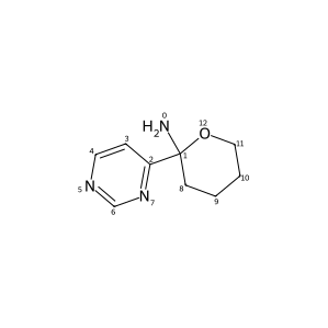 NC1(c2ccncn2)CCCCO1